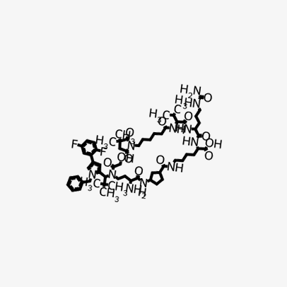 CC(C)C(NC(=O)CCCCCN1C(=O)CC(C)(C)C1=O)C(=O)NC(CCCNC(N)=O)C(=O)NC(CCCCNC(=O)C1CCC(NC(=O)C(N)CCN(C(=O)CO)C(c2cc(-c3cc(F)ccc3F)cn2Cc2ccccc2)C(C)(C)C)C1)C(=O)O